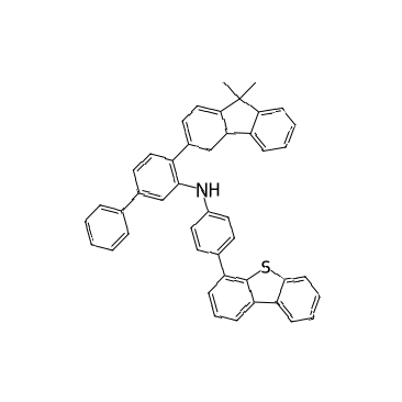 CC1(C)C2=CC=C(c3ccc(-c4ccccc4)cc3Nc3ccc(-c4cccc5c4sc4ccccc45)cc3)CC2c2ccccc21